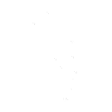 COc1nc(NC23CC(N)(C2)C3)nn2ccc(-c3ccc4nccnc4c3)c12